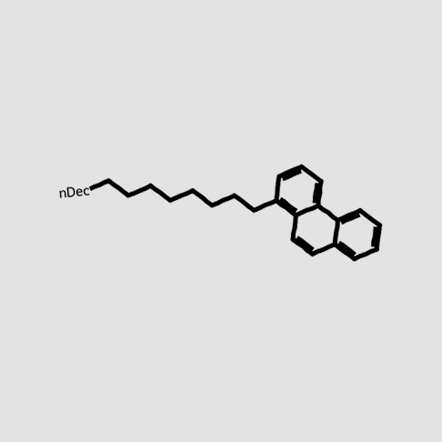 [CH2]CCCCCCCCCCCCCCCCCc1cccc2c1ccc1ccccc12